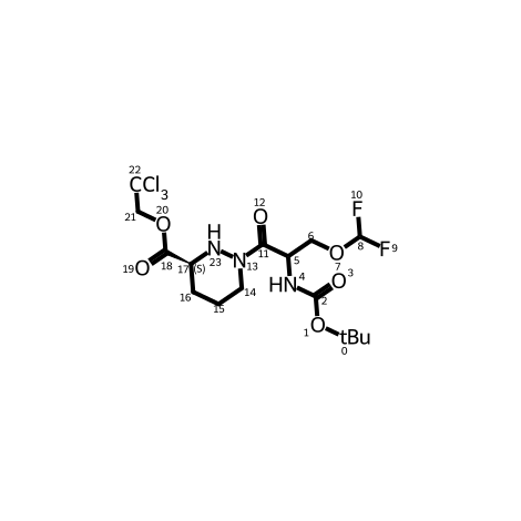 CC(C)(C)OC(=O)NC(COC(F)F)C(=O)N1CCC[C@@H](C(=O)OCC(Cl)(Cl)Cl)N1